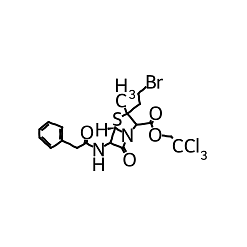 CC1(CCBr)S[C@H]2C(NC(=O)Cc3ccccc3)C(=O)N2C1C(=O)OCC(Cl)(Cl)Cl